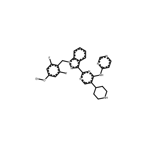 CCOc1cc(F)c(Cn2nc(-c3ncc(C4CCNCC4)c(Nc4ccncn4)n3)c3ccccc32)c(F)c1